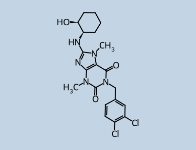 Cn1c(N[C@@H]2CCCC[C@@H]2O)nc2c1c(=O)n(Cc1ccc(Cl)c(Cl)c1)c(=O)n2C